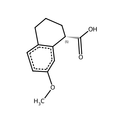 COc1ccc2c(c1)[C@@H](C(=O)O)CCC2